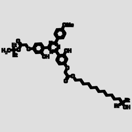 CCC(O)(CC)CCCCCCCCCCCCOC(=O)COc1ccc(-c2nc(-c3ccc(OC)cc3)nc(-c3ccc(OCC(=O)OC(C)(CC)CC)cc3O)n2)c(O)c1